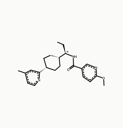 CC[C@@H](NC(=O)c1ccc(OC)nc1)[C@H]1CC[C@@H](c2cc(C)ccn2)CC1